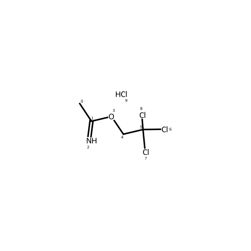 CC(=N)OCC(Cl)(Cl)Cl.Cl